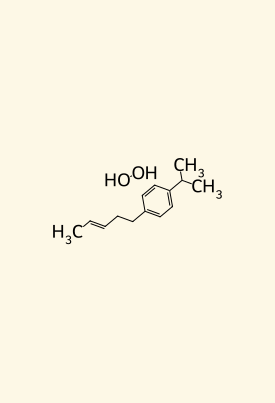 CC=CCCc1ccc(C(C)C)cc1.OO